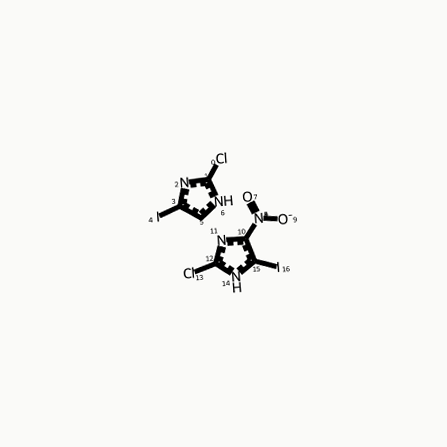 Clc1nc(I)c[nH]1.O=[N+]([O-])c1nc(Cl)[nH]c1I